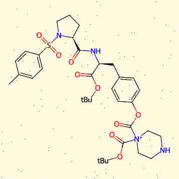 Cc1ccc(S(=O)(=O)N2CCC[C@H]2C(=O)N[C@@H](Cc2ccc(OC(=O)[N+]3(C(=O)OC(C)(C)C)CCNCC3)cc2)C(=O)OC(C)(C)C)cc1